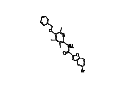 Cc1nc(NC(=O)c2cc3cc(Br)ccc3o2)c(C)c(C)c1OCc1ccccc1